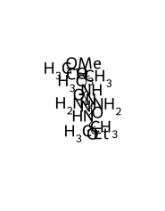 CCOC(C)(C)CCNC(=O)c1nc(N)c(C(=O)NCCC(C)(C)OCCC(C)(C)OC)nc1N